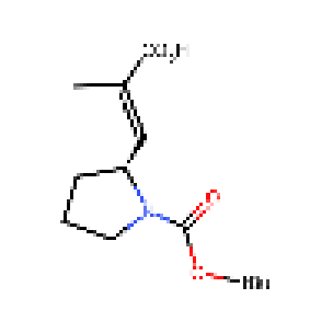 CC(=C[C@@H]1CCCN1C(=O)OC(C)(C)C)C(=O)O